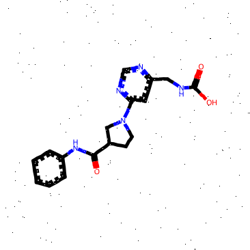 O=C(O)NCc1cc(N2CCC(C(=O)Nc3ccccc3)C2)ncn1